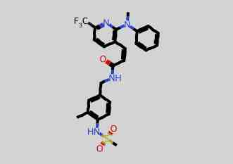 Cc1cc(CNC(=O)/C=C\c2ccc(C(F)(F)F)nc2N(C)c2ccccc2)ccc1NS(C)(=O)=O